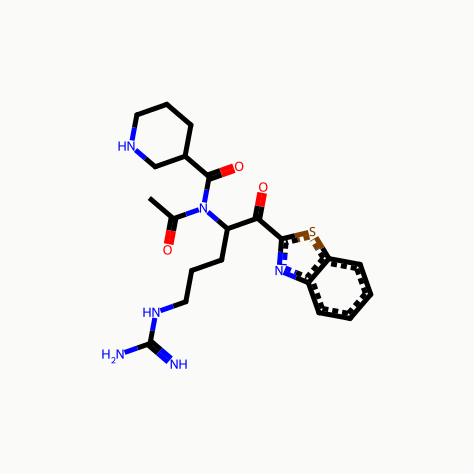 CC(=O)N(C(=O)C1CCCNC1)C(CCCNC(=N)N)C(=O)c1nc2ccccc2s1